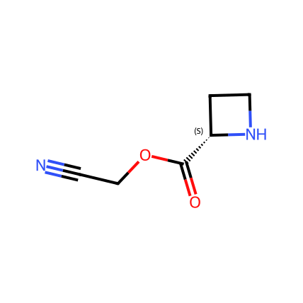 N#CCOC(=O)[C@@H]1CCN1